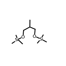 CC(CO[Si](C)(C)C)CO[Si](C)(C)C